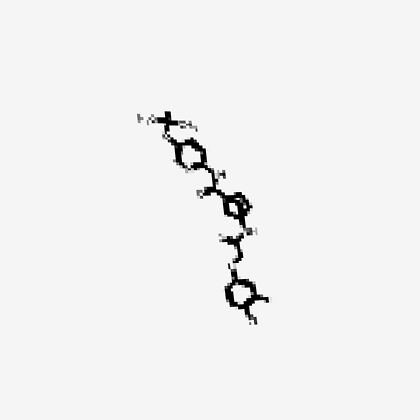 CC(C)(F)Oc1ccc(NC(=O)C23CCC(NC(=O)COc4ccc(Cl)c(F)c4)(C2)C3)nc1